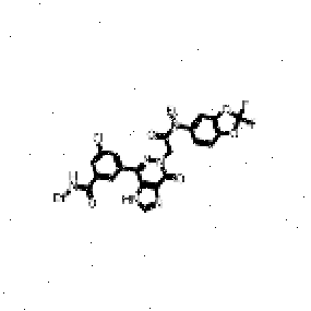 CCNC(=O)c1cc(Cl)cc(-c2nn(CC(=O)N(CC)c3ccc4c(c3)OC(F)(F)O4)c(=O)c3nc[nH]c23)c1